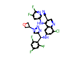 N#Cc1cnc2c(Cl)cc(N[C@H](c3cn(C4COC4)nn3)c3c(F)cc(F)cc3F)cc2c1Nc1cnc(F)c(F)c1